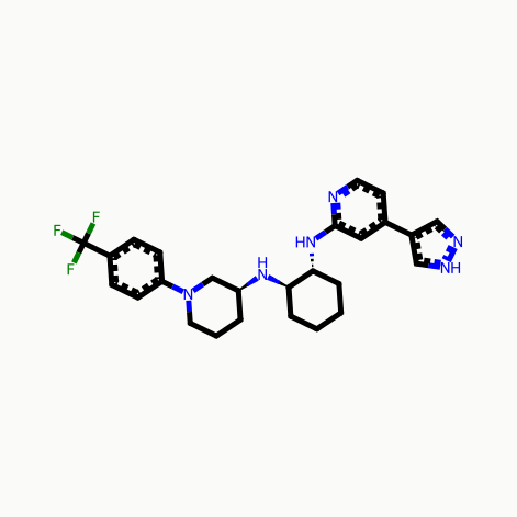 FC(F)(F)c1ccc(N2CCC[C@H](N[C@@H]3CCCC[C@H]3Nc3cc(-c4cn[nH]c4)ccn3)C2)cc1